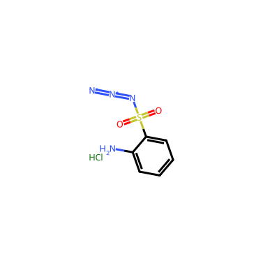 Cl.[N-]=[N+]=NS(=O)(=O)c1ccccc1N